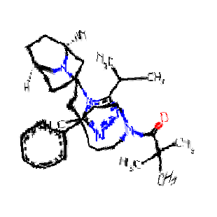 Cc1nnc(C(C)C)n1C1C[C@H]2CC[C@@H](C1)N2CCC1(c2ccccc2)CCN(C(=O)C(C)(C)C)CC1